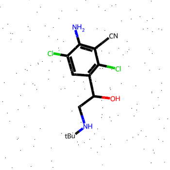 CC(C)(C)NCC(O)c1cc(Cl)c(N)c(C#N)c1Cl